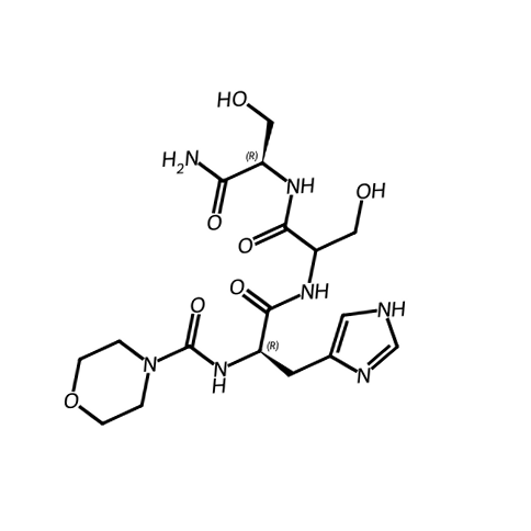 NC(=O)[C@@H](CO)NC(=O)C(CO)NC(=O)[C@@H](Cc1c[nH]cn1)NC(=O)N1CCOCC1